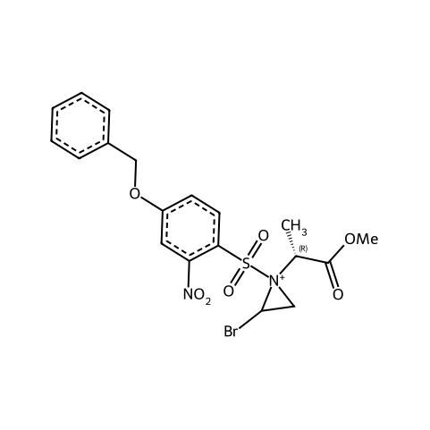 COC(=O)[C@@H](C)[N+]1(S(=O)(=O)c2ccc(OCc3ccccc3)cc2[N+](=O)[O-])CC1Br